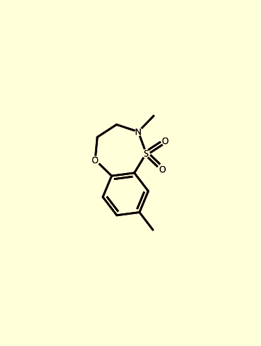 Cc1ccc2c(c1)S(=O)(=O)N(C)CCO2